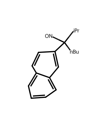 CCCCC(N=O)(c1ccc2ccccc2c1)C(C)C